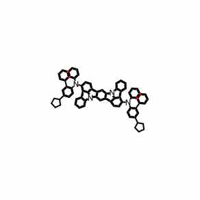 c1ccc(-c2cc(C3CCCC3)ccc2N(c2ccccc2)c2ccc3c4cc5c(cc4n4c6ccccc6c2c34)c2ccc(N(c3ccccc3)c3ccc(C4CCCC4)cc3-c3ccccc3)c3c4ccccc4n5c23)cc1